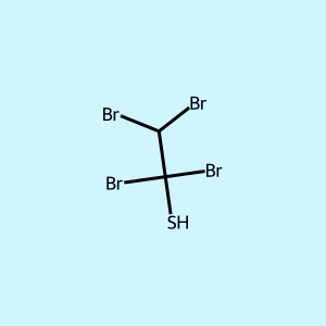 SC(Br)(Br)C(Br)Br